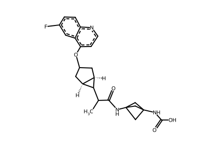 CC(C(=O)NC12CC(NC(=O)O)(C1)C2)C1[C@H]2CC(Oc3ccnc4ccc(F)cc34)C[C@@H]12